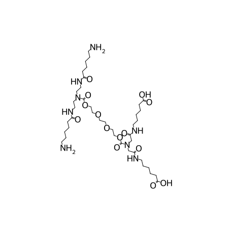 NCCCCCC(=O)NCCN(CCNC(=O)CCCCCN)C(=O)OCCOCCOCCOC(=O)N(CC(=O)NCCCCCC(=O)O)CC(=O)NCCCCCC(=O)O